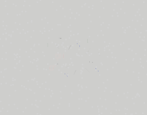 O=C(O)c1[nH]cc(-c2c[nH]c3ccc(Cl)cc23)c1-c1c[nH]c2ccc(Cl)cc12